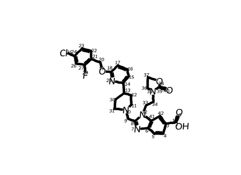 O=C(O)c1ccc2nc(CN3CCC(c4cccc(OCc5ccc(Cl)cc5F)n4)CC3)n(CCN3CCOC3=O)c2c1